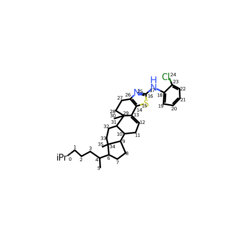 CC(C)CCCC(C)C1CCC2C3CC=C4c5sc(Nc6ccccc6Cl)nc5CCC4(C)C3CCC12C